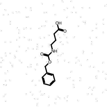 O=C(O)CC[CH]NC(=O)OCc1ccccc1